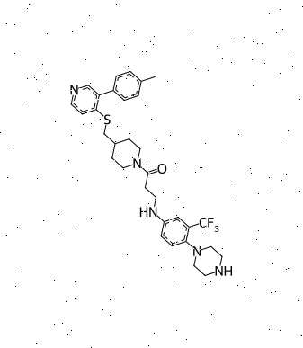 Cc1ccc(-c2cnccc2SCC2CCN(C(=O)CCNc3ccc(N4CCNCC4)c(C(F)(F)F)c3)CC2)cc1